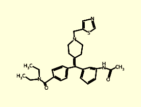 CCN(CC)C(=O)c1ccc(C(=C2CCN(Cc3cncs3)CC2)c2cccc(NC(C)=O)c2)cc1